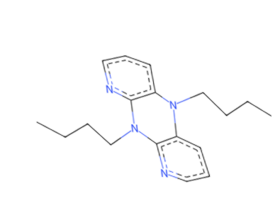 CCCCN1c2cccnc2N(CCCC)c2ncccc21